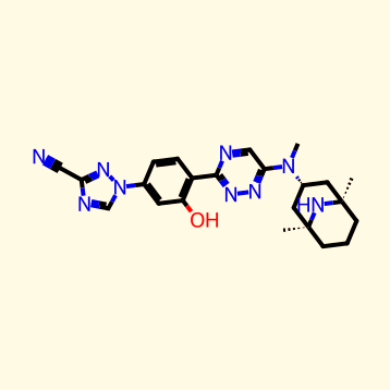 CN(c1cnc(-c2ccc(-n3cnc(C#N)n3)cc2O)nn1)[C@H]1C[C@]2(C)CCC[C@](C)(C1)N2